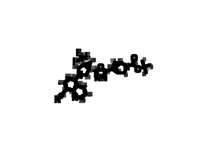 CC(C)(C)OC(=O)N1CC2CC1CC2c1nnc([C@]23CN(c4ccc(C#N)c5ncccc45)C[C@@]2(C(F)(F)F)C3)o1